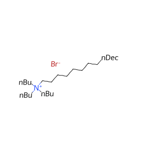 CCCCCCCCCCCCCCCCCC[N+](CCCC)(CCCC)CCCC.[Br-]